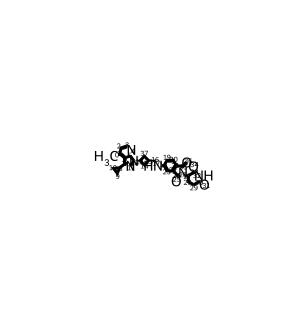 Cc1ccnc2c1c(C1CC1)nn2[C@H]1C[C@H](CNc2ccc3c(c2)C(=O)N(C2CCC(=O)NC2=O)C3=O)C1